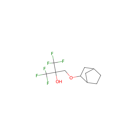 OC(COC1CC2CCC1C2)(C(F)(F)F)C(F)(F)F